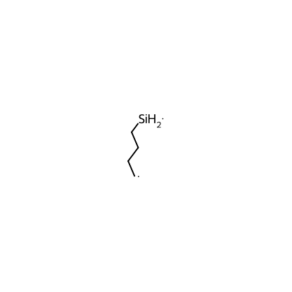 [CH2]CCC[SiH2]